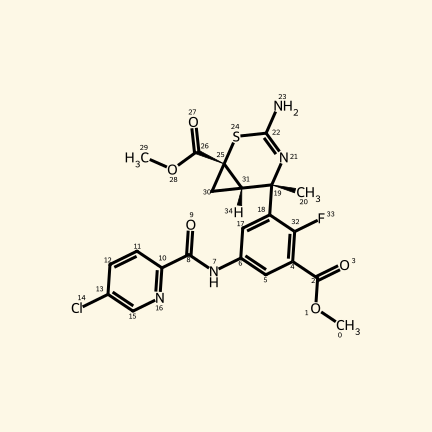 COC(=O)c1cc(NC(=O)c2ccc(Cl)cn2)cc([C@@]2(C)N=C(N)S[C@@]3(C(=O)OC)C[C@H]32)c1F